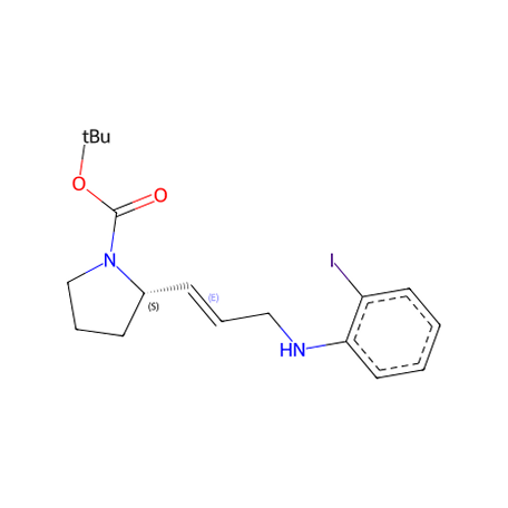 CC(C)(C)OC(=O)N1CCC[C@H]1/C=C/CNc1ccccc1I